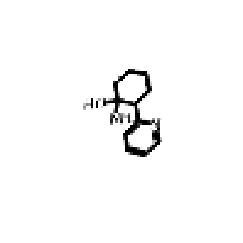 NC1(O)CCCCC1c1ccccn1